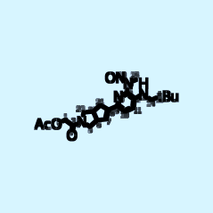 CC(=O)OCC(=O)N1CC2C=C(c3ccc(NCC(C)(C)C)c(N(C)N=O)n3)CC2C1